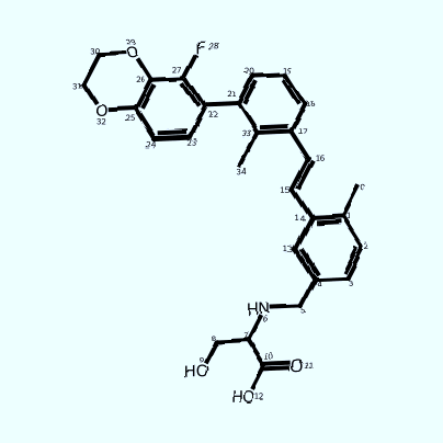 Cc1ccc(CNC(CO)C(=O)O)cc1C=Cc1cccc(-c2ccc3c(c2F)OCCO3)c1C